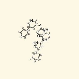 CCC(NC(=O)Cc1cncc(-c2ccccc2)c1)C(=O)Nc1cc(-c2ccccc2)n[nH]1